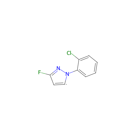 Fc1c[c]n(-c2ccccc2Cl)n1